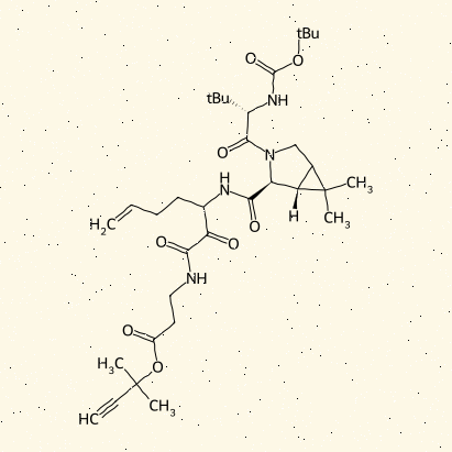 C#CC(C)(C)OC(=O)CCNC(=O)C(=O)C(CCC=C)NC(=O)[C@@H]1[C@@H]2C(CN1C(=O)[C@@H](NC(=O)OC(C)(C)C)C(C)(C)C)C2(C)C